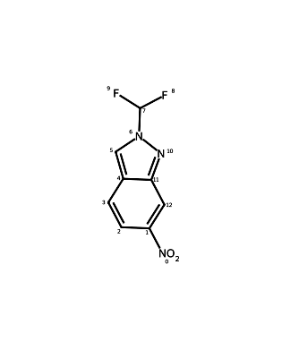 O=[N+]([O-])c1ccc2cn(C(F)F)nc2c1